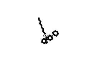 CCCCCCCCCOC(=O)C1([C@]2(CC)CC[C@H](C3CCCCC3)CC2)CCCCC1